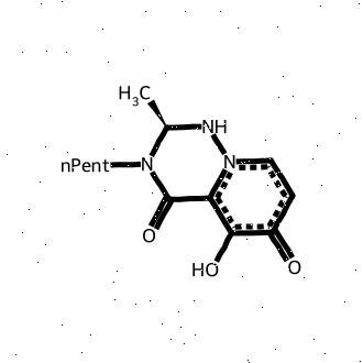 CCCCCN1C(=O)c2c(O)c(=O)ccn2N[C@@H]1C